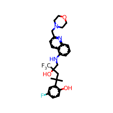 CC(C)(CC(O)(CNc1cccc2nc(CN3CCOCC3)ccc12)C(F)(F)F)c1cc(F)ccc1O